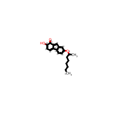 CCCCCCC(C)Oc1ccc2c(c1)C=C1C(=O)C(O)=CC=C12